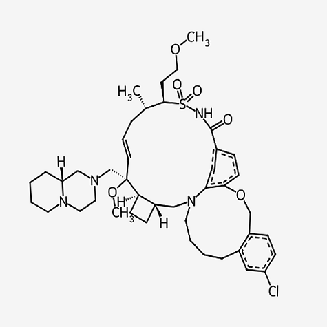 COCC[C@@H]1[C@@H](C)C/C=C/[C@](CN2CCN3CCCC[C@@H]3C2)(OC)[C@@H]2CC[C@H]2CN2CCCCc3cc(Cl)ccc3COc3ccc(cc32)C(=O)NS1(=O)=O